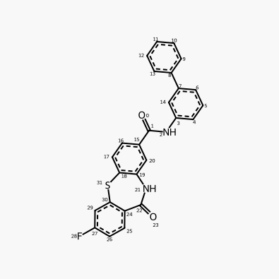 O=C(Nc1cccc(-c2ccccc2)c1)c1ccc2c(c1)NC(=O)c1ccc(F)cc1S2